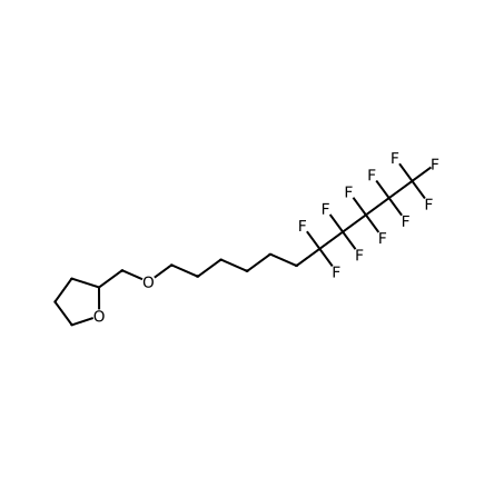 FC(F)(F)C(F)(F)C(F)(F)C(F)(F)C(F)(F)CCCCCCOCC1CCCO1